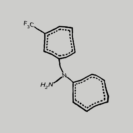 NN(c1ccccc1)c1cccc(C(F)(F)F)c1